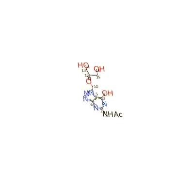 CC(=O)Nc1nc(O)c2c(nnn2COC(CO)CO)n1